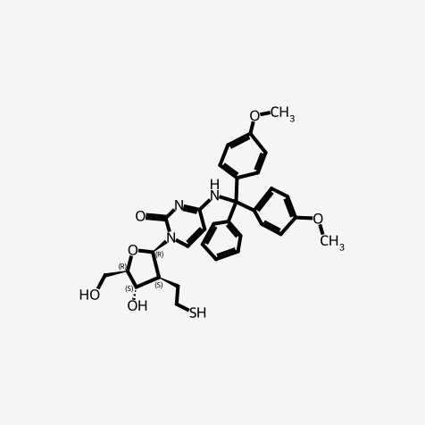 COc1ccc(C(Nc2ccn([C@@H]3O[C@H](CO)[C@@H](O)[C@@H]3CCS)c(=O)n2)(c2ccccc2)c2ccc(OC)cc2)cc1